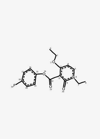 CCOc1ccn(CC)c(=O)c1C(=O)Oc1ccc(F)cc1